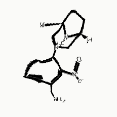 CN1[C@@H]2CC[C@H]1CN(c1cccc(N)c1[N+](=O)[O-])C2